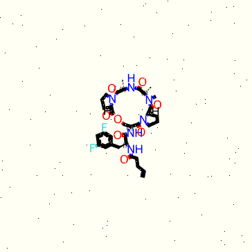 C=CCCC(=O)N[C@@H](Cc1cc(F)cc(F)c1)C(=O)N[C@H]1COC(=O)[C@@H]2CCCN2C(=O)[C@H](C)NC(=O)[C@H](C)N(C)C(=O)[C@@H]2CCCN2C1=O